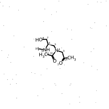 CC(=O)CN(C[C@H](CO)NI)C(C)=O